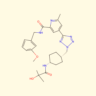 COc1cccc(CNC(=O)c2cc(-c3nnn(C[C@H]4CC[C@@H](NC(=O)C(C)(C)O)CC4)n3)cc(C)n2)c1